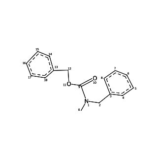 CN(Cc1ccccc1)C(=O)OCc1ccccc1